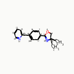 CC1(C)COC(c2ccc(-c3ccccn3)cc2)=N1